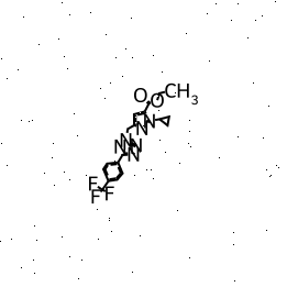 CCOC(=O)c1cc(Cn2nnc(-c3ccc(C(F)(F)F)cc3)n2)nn1C1CC1